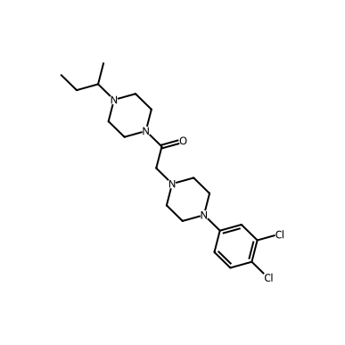 CCC(C)N1CCN(C(=O)CN2CCN(c3ccc(Cl)c(Cl)c3)CC2)CC1